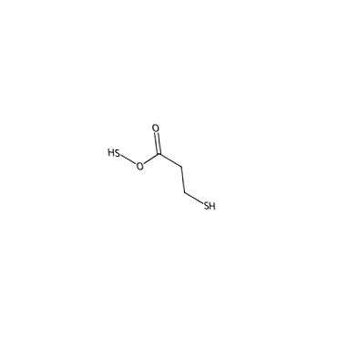 O=C(CCS)OS